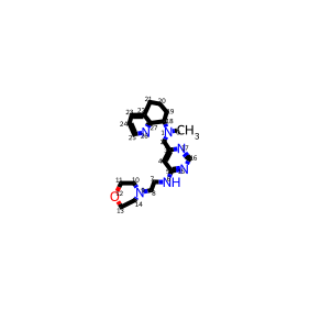 CN(Cc1cc(NCCN2CCOCC2)ncn1)C1CCCc2cccnc21